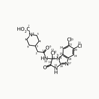 O=C(CC1CCN(C(=O)O)CC1)NC1(C(F)(F)F)C(=O)Nc2nc3cc(Cl)c(Cl)cc3n21